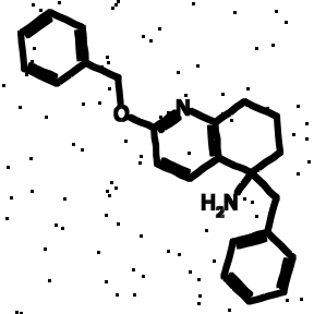 NC1(Cc2ccccc2)CCCc2nc(OCc3ccccc3)ccc21